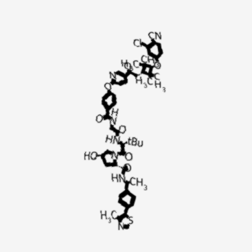 Cc1ncsc1-c1ccc([C@H](C)NC(=O)[C@@H]2C[C@@H](O)CN2C(=O)[C@@H](NC(=O)CNC(=O)c2ccc(Oc3ccc(C(=O)C[C@H]4C(C)(C)[C@H](Oc5ccc(C#N)c(Cl)c5)C4(C)C)cn3)cc2)C(C)(C)C)cc1